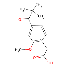 COc1cc(C(=O)C(C)(C)C)ccc1CC(=O)O